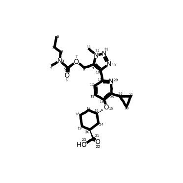 CCCN(C)C(=O)OCc1c(-c2ccc(O[C@H]3CCC[C@H](C(=O)O)C3)c(C3CC3)n2)nnn1C